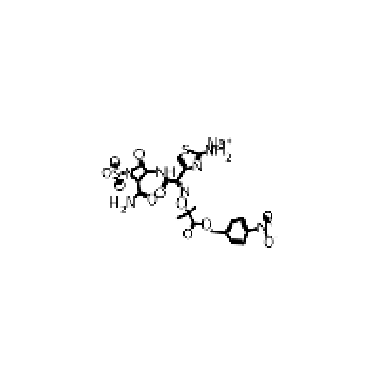 CC(C)(ON=C(C(=O)NC1C(=O)N(S(=O)(=O)[O-])C1C(N)=O)c1csc(N)n1)C(=O)OCc1ccc([N+](=O)[O-])cc1.[Na+]